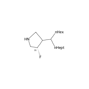 CCCCCCCC(CCCCCC)C1CNC[C@H]1F